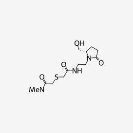 CNC(=O)CSCC(=O)NCCN1C(=O)CC[C@H]1CO